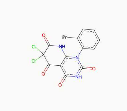 CC(C)c1ccccc1-n1c2c(c(=O)[nH]c1=O)C(=O)C(Cl)(Cl)C(=O)N2